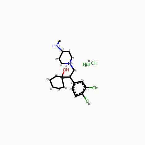 CNC1CCN(CC(c2ccc(Cl)c(Cl)c2)C2(O)CCCCC2)CC1.Cl.Cl